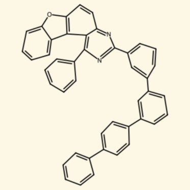 c1ccc(-c2ccc(-c3cccc(-c4cccc(-c5nc(-c6ccccc6)c6c(ccc7oc8ccccc8c76)n5)c4)c3)cc2)cc1